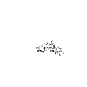 Cc1cccc([C@@H](C)Nc2nnc(C)c3ccc(N4CCNS(=O)(=O)CC4)cc23)c1C